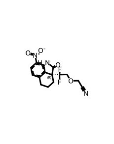 N#CCOCC(F)(F)[C@]1(C(N)=O)CCCc2ccc([N+](=O)[O-])cc21